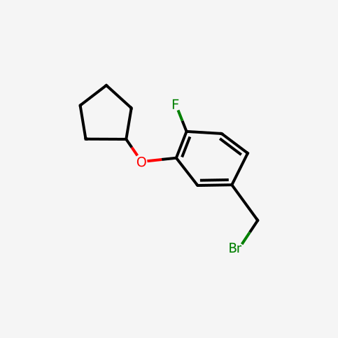 Fc1ccc(CBr)cc1OC1CCCC1